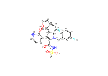 CS(=O)(=O)NC(=O)c1c(-c2ccc[nH]c2=O)c2c3occc3cc(F)c2n1Cc1cc(F)ccc1F